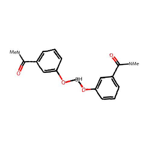 CNC(=O)c1cccc(OBOc2cccc(C(=O)NC)c2)c1